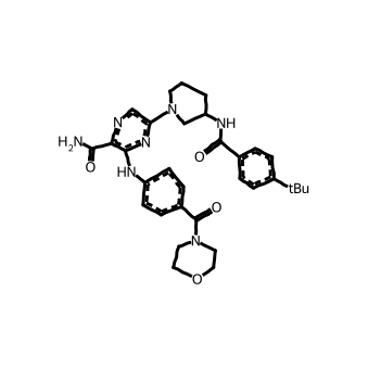 CC(C)(C)c1ccc(C(=O)NC2CCCN(c3cnc(C(N)=O)c(Nc4ccc(C(=O)N5CCOCC5)cc4)n3)C2)cc1